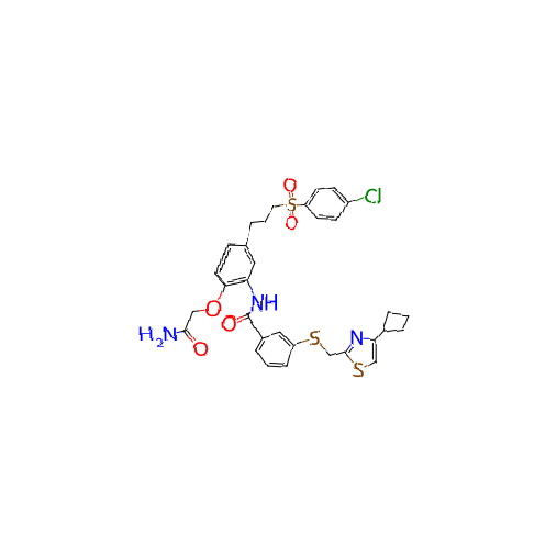 NC(=O)COc1ccc(CCCS(=O)(=O)c2ccc(Cl)cc2)cc1NC(=O)c1cccc(SCc2nc(C3CCC3)cs2)c1